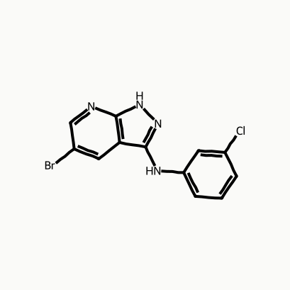 Clc1cccc(Nc2n[nH]c3ncc(Br)cc23)c1